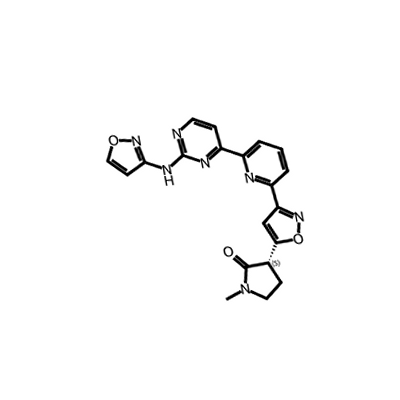 CN1CC[C@@H](c2cc(-c3cccc(-c4ccnc(Nc5ccon5)n4)n3)no2)C1=O